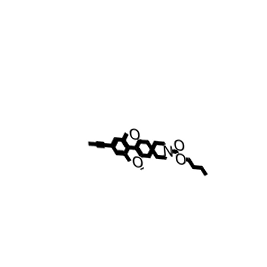 CC#Cc1cc(C)c(C2=C(OC)CC3(CCN(C(=O)OCCCC)CC3)CC2=O)c(C)c1